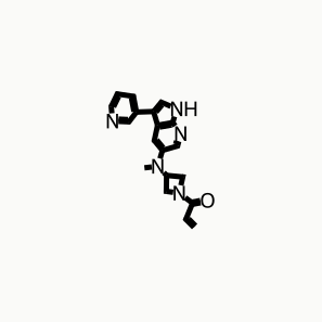 C=CC(=O)N1CC(N(C)c2cnc3[nH]cc(-c4cccnc4)c3c2)C1